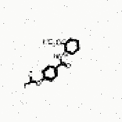 O=C(N[C@@H]1CCCC[C@@H]1C(=O)O)c1ccc(OC(F)F)cc1